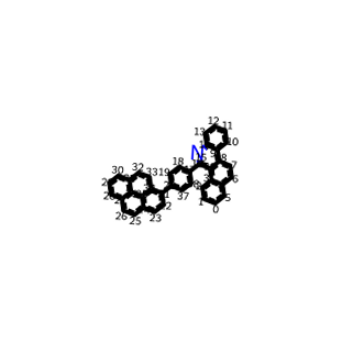 c1ccc2c(c1)ccc1c3ccccc3nc(-c3ccc(-c4ccc5ccc6cccc7ccc4c5c67)cc3)c21